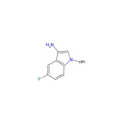 CCCn1cc(N)c2cc(F)ccc21